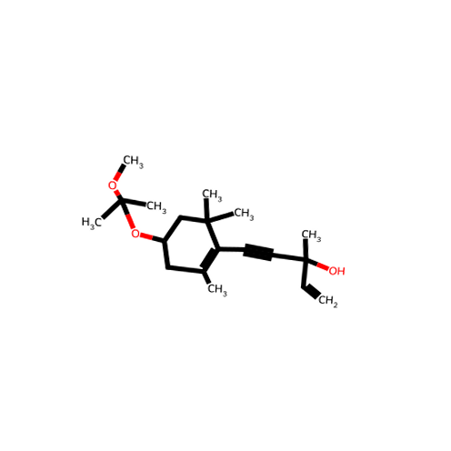 C=CC(C)(O)C#CC1=C(C)CC(OC(C)(C)OC)CC1(C)C